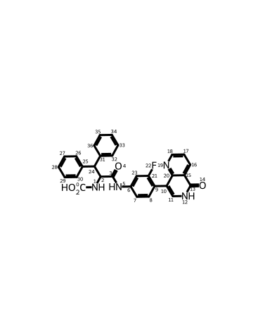 O=C(O)NC(C(=O)Nc1ccc(-c2c[nH]c(=O)c3cccnc23)c(F)c1)C(c1ccccc1)c1ccccc1